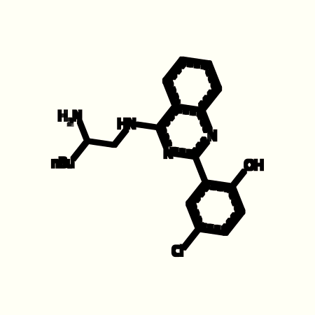 CCCCC(N)CNc1nc(-c2cc(Cl)ccc2O)nc2ccccc12